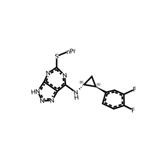 CCCSc1nc(N[C@@H]2C[C@H]2c2ccc(F)c(F)c2)c2nn[nH]c2n1